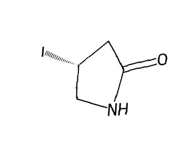 O=C1C[C@@H](I)CN1